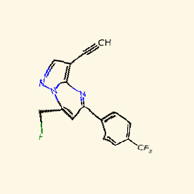 C#Cc1cnn2c(CF)cc(-c3ccc(C(F)(F)F)cc3)nc12